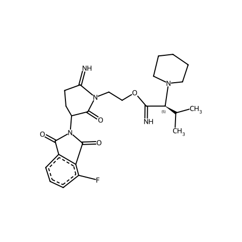 CC(C)[C@@H](C(=N)OCCN1C(=N)CCC(N2C(=O)c3cccc(F)c3C2=O)C1=O)N1CCCCC1